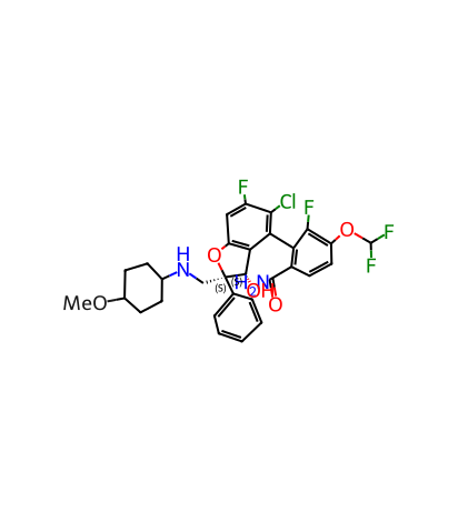 COC1CCC(NC[C@]2(c3ccccc3)Oc3cc(F)c(Cl)c(-c4c(C(N)=O)ccc(OC(F)F)c4F)c3[C@@H]2O)CC1